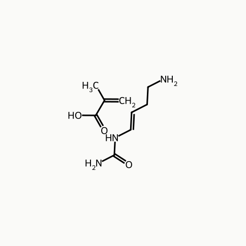 C=C(C)C(=O)O.NCCC=CNC(N)=O